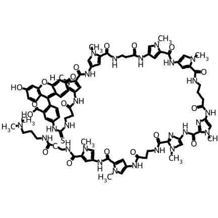 CN(C)CCCNC(=O)CCNC(=O)c1cc(NC(=O)c2cc(NC(=O)CCNC(=O)c3nc(NC(=O)c4nc(NC(=O)CCCNC(=O)c5cc(NC(=O)c6cc(NC(=O)CCNC(=O)c7cc(NC(=O)c8cc(NC(=O)CCNC(=S)Nc9ccc(-c%10c%11ccc(=O)cc-%11oc%11cc(O)ccc%10%11)c(C(=O)O)c9)cn8C)cn7C)cn6C)cn5C)cn4C)cn3C)cn2C)cn1C